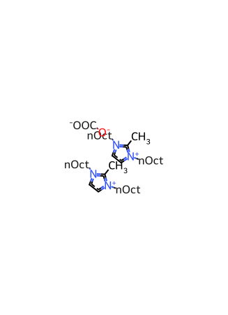 CCCCCCCCn1cc[n+](CCCCCCCC)c1C.CCCCCCCCn1cc[n+](CCCCCCCC)c1C.O=C([O-])[O-]